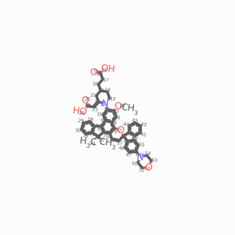 COc1cc2c3c(c4c(c2cc1N1CCC(CCC(=O)O)CC1=CC(=O)O)-c1ccccc1C4(C)C)C=CC(c1ccccc1)(c1ccc(N2CCOCC2)cc1)O3